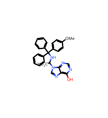 COc1ccc(C(NC(C(=O)O)n2cnc3c(O)ncnc32)(c2ccccc2)c2ccccc2)cc1